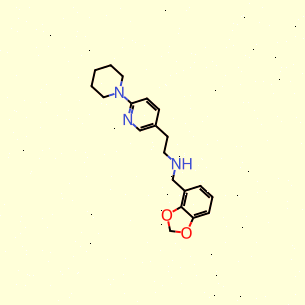 c1cc(CNCCc2ccc(N3CCCCC3)nc2)c2c(c1)OCO2